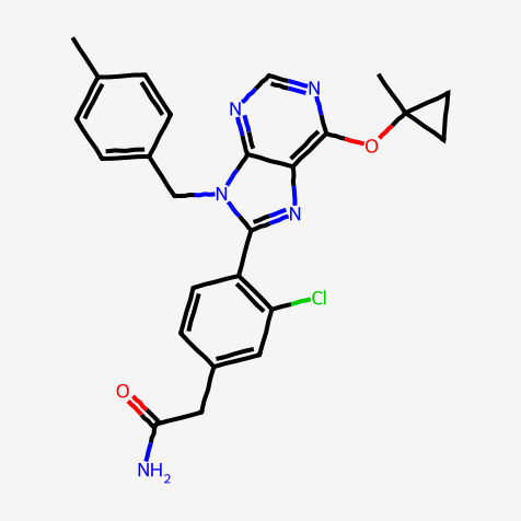 Cc1ccc(Cn2c(-c3ccc(CC(N)=O)cc3Cl)nc3c(OC4(C)CC4)ncnc32)cc1